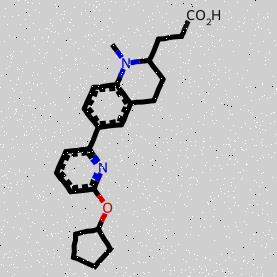 CN1c2ccc(-c3cccc(OC4CCCC4)n3)cc2CCC1CCC(=O)O